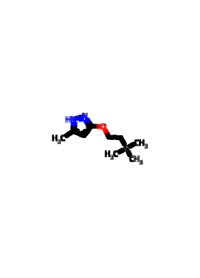 Cc1cc(OCC[Si](C)(C)C)n[nH]1